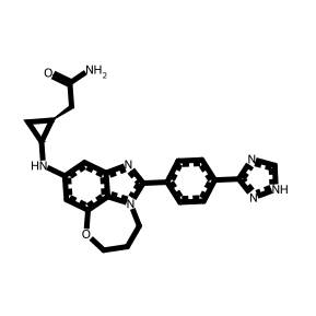 NC(=O)C[C@@H]1C[C]1Nc1cc2c3c(c1)nc(-c1ccc(-c4nc[nH]n4)cc1)n3CCCO2